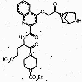 CCOC(=O)N1CCN(C(=O)C(CCC(=O)O)NC(=O)c2cc(OCC(=O)N3CC4CC3CN4)c3ccccc3n2)CC1